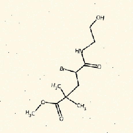 COC(=O)C(C)(C)CC(Br)C(=O)NCCO